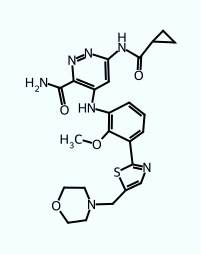 COc1c(Nc2cc(NC(=O)C3CC3)nnc2C(N)=O)cccc1-c1ncc(CN2CCOCC2)s1